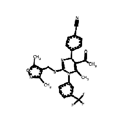 CC(=O)C1=C(C)N(c2cccc(C(F)(F)F)c2)C(SCc2c(C)noc2C)=NC1c1ccc(C#N)cc1